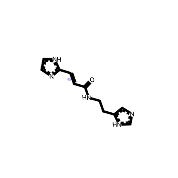 O=C(/C=C/c1ncc[nH]1)NCCc1cnc[nH]1